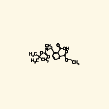 CCOC(=O)c1cccc(CN(C)C(=O)OC(C)(C)C)c1C(=O)O